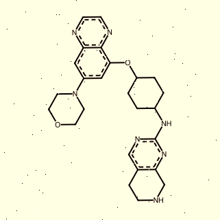 c1cnc2c(OC3CCC(Nc4ncc5c(n4)CNCC5)CC3)cc(N3CCOCC3)cc2n1